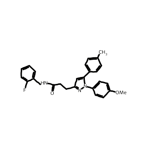 COc1ccc(-n2nc(CCC(=O)NCc3ccccc3F)cc2-c2ccc(C)cc2)cc1